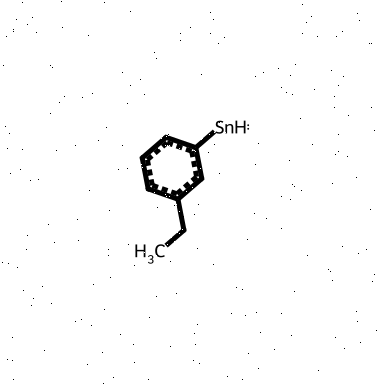 CCc1ccc[c]([SnH])c1